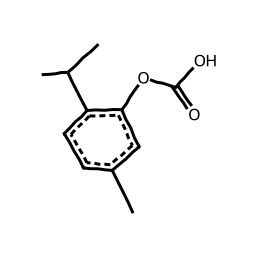 Cc1ccc(C(C)C)c(OC(=O)O)c1